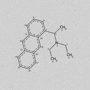 CCN(CC)C(C)c1cccc2cc3ccccc3cc12